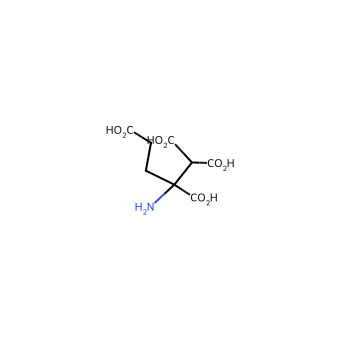 NC(CCC(=O)O)(C(=O)O)C(C(=O)O)C(=O)O